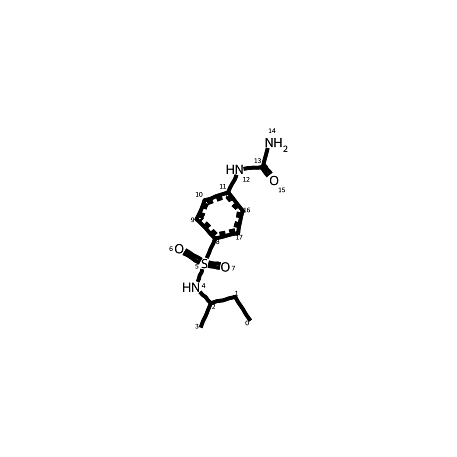 CCC(C)NS(=O)(=O)c1ccc(NC(N)=O)cc1